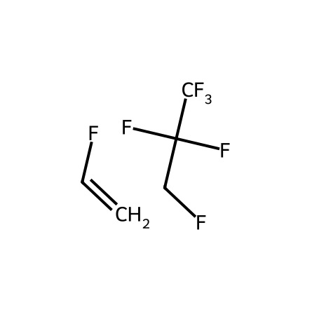 C=CF.FCC(F)(F)C(F)(F)F